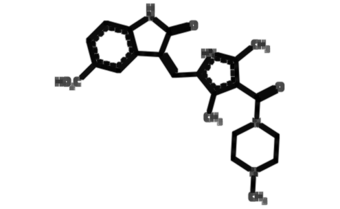 Cc1[nH]c(C=C2C(=O)Nc3ccc(C(=O)O)cc32)c(C)c1C(=O)N1CCN(C)CC1